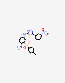 Cc1ccc(S(=O)(=O)c2cc(Nc3nnc(-c4cccc([N+](=O)[O-])c4)s3)ccc2N)cc1